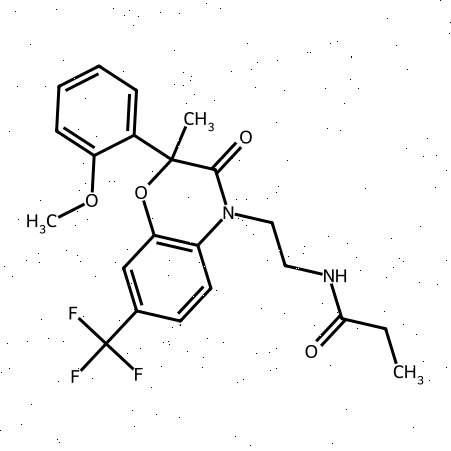 CCC(=O)NCCN1C(=O)C(C)(c2ccccc2OC)Oc2cc(C(F)(F)F)[c]cc21